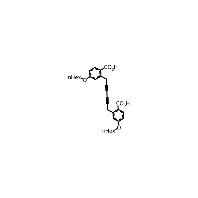 CCCCCCOc1ccc(C(=O)O)c(CC#CC#CCc2cc(OCCCCCC)ccc2C(=O)O)c1